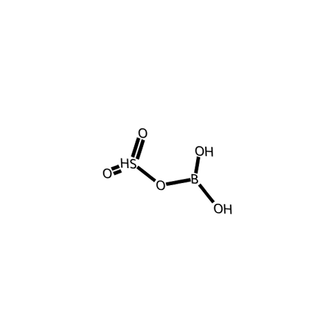 O=[SH](=O)OB(O)O